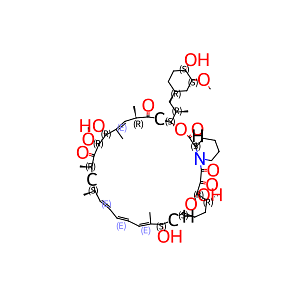 CO[C@H]1C[C@@H](C[C@@H](C)[C@@H]2CC(=O)[C@H](C)/C=C(\C)[C@@H](O)[C@@H](OC)C(=O)[C@H](C)C[C@H](C)/C=C/C=C/C=C(\C)[C@@H](O)C[C@@H]3CC[C@@H](C)[C@@](O)(O3)C(=O)C(=O)N3CCCC[C@H]3C(=O)O2)CC[C@@H]1O